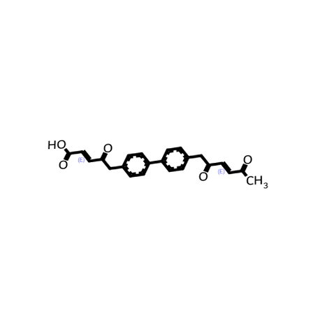 CC(=O)/C=C/C(=O)Cc1ccc(-c2ccc(CC(=O)/C=C/C(=O)O)cc2)cc1